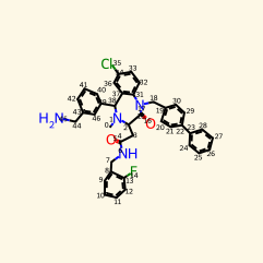 CN1C(CC(=O)NCc2ccccc2F)C(=O)N(Cc2ccc(-c3ccccc3)cc2)c2ccc(Cl)cc2C1c1cccc(CN)c1